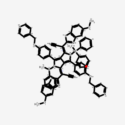 COc1ccc2sc(/C(C#N)=c3/c4c(-c5ccc(OCc6ccncc6)cc5)n([B-](C)(c5ccccc5)c5ccccc5)/c(=C(/C#N)c5nc6cc(OC)ccc6s5)c4c(-c4ccc(OCc5ccncc5)cc4)n3B(C)c3ccccc3)nc2c1